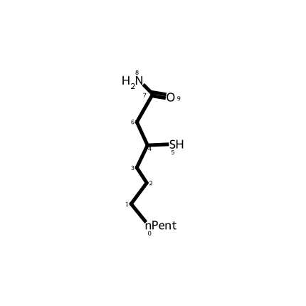 CCCCCCCCC(S)CC(N)=O